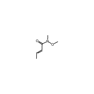 C/C=C/C(=O)N(C)OC